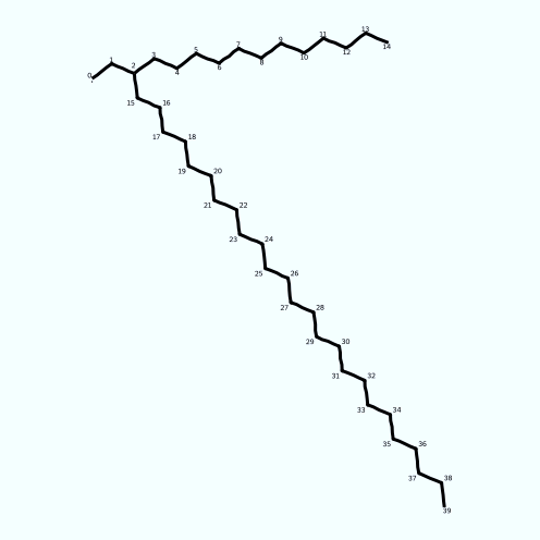 [CH2]CC(CCCCCCCCCCCC)CCCCCCCCCCCCCCCCCCCCCCCCC